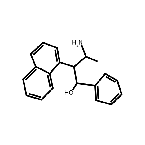 CC(N)C(c1cccc2ccccc12)C(O)c1ccccc1